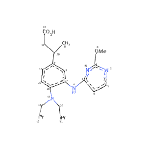 COc1nccc(Nc2cc(C(C)CC(=O)O)ccc2N(CC(C)C)CC(C)C)n1